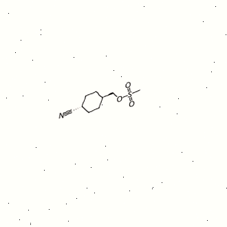 CS(=O)(=O)OC[C@H]1CC[C@H](C#N)CC1